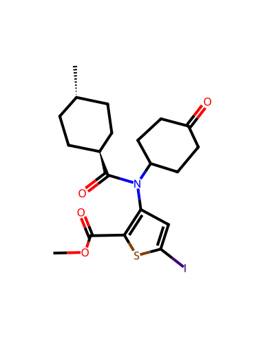 COC(=O)c1sc(I)cc1N(C(=O)[C@H]1CC[C@H](C)CC1)C1CCC(=O)CC1